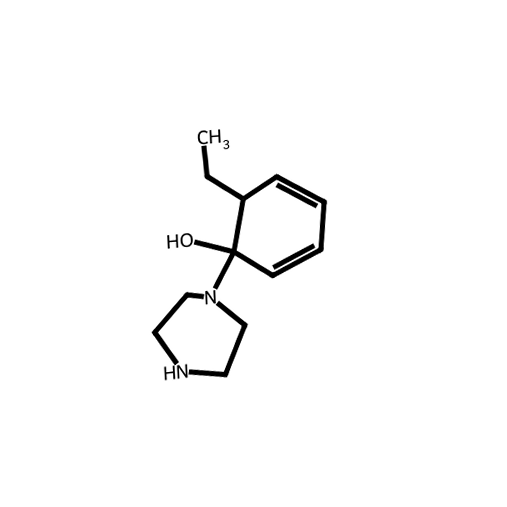 CCC1C=CC=CC1(O)N1CCNCC1